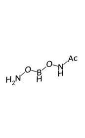 CC(=O)NOBON